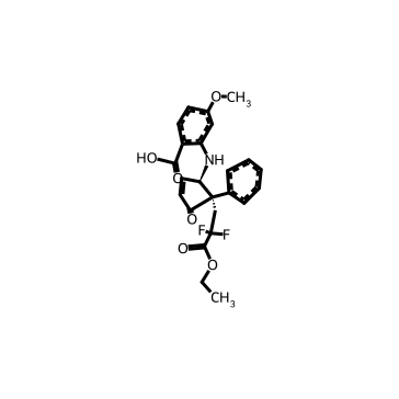 CCOC(=O)C(F)(F)C[C@]1(c2ccccc2)C(=O)C=C[C@H]1Nc1cc(OC)ccc1C(=O)O